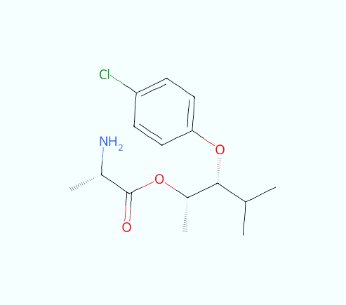 CC(C)[C@@H](Oc1ccc(Cl)cc1)[C@H](C)OC(=O)[C@H](C)N